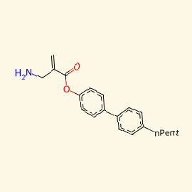 C=C(CN)C(=O)Oc1ccc(-c2ccc(CCCCC)cc2)cc1